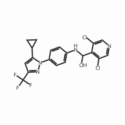 OC(Nc1ccc(-n2nc(C(F)(F)F)cc2C2CC2)cc1)c1c(Cl)cncc1Cl